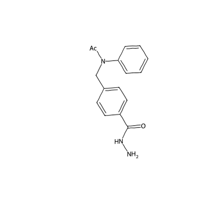 CC(=O)N(Cc1ccc(C(=O)NN)cc1)c1ccccc1